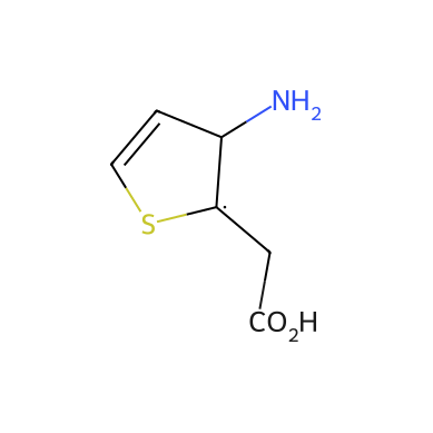 NC1C=CS[C]1CC(=O)O